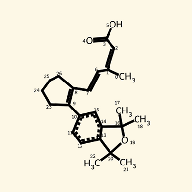 CC(=C/C(=O)O)/C=C/C1=C(c2ccc3c(c2)C(C)(C)OC3(C)C)CCCC1